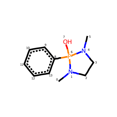 CN1CCN(C)[P]1(O)c1ccccc1